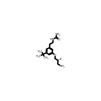 CC(C)(C)c1cc(CCNC(N)=O)cc(OC[C@H](F)CN)c1